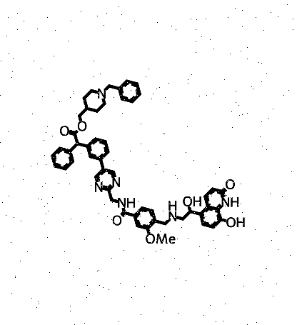 COc1cc(C(=O)NCc2ncc(-c3cccc(C(C(=O)OCC4CCN(Cc5ccccc5)CC4)c4ccccc4)c3)cn2)ccc1CNCC(O)c1ccc(O)c2[nH]c(=O)ccc12